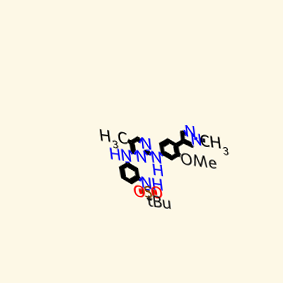 COc1cc(Nc2ncc(C)c(Nc3cccc(NS(=O)(=O)C(C)(C)C)c3)n2)ccc1-c1cnn(C)c1